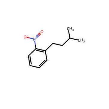 CC(C)CCc1[c]cccc1[N+](=O)[O-]